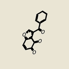 O=C1C=Cc2occ(C(=O)C3=CCCC=C3)c2C1=O